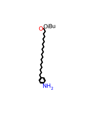 CC(C)COC(=O)CCCCCCCCCCCCCCCCCCc1ccc(N)cc1